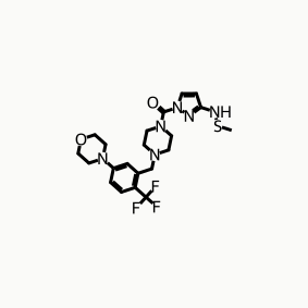 CSNc1ccn(C(=O)N2CCN(Cc3cc(N4CCOCC4)ccc3C(F)(F)F)CC2)n1